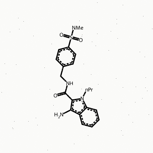 CCCn1c(C(=O)NCc2ccc(S(=O)(=O)NC)cc2)c(N)c2ccccc21